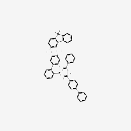 CC1(C)c2ccccc2-c2c1ccc1c2Oc2ccc(-c3ccccc3-c3nc(-c4ccccc4)nc(-c4ccc(-c5ccccc5)cc4)n3)cc2O1